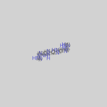 c1cc2nc(-c3ccc(-c4nc5ccc(NC6=NCCN6C6=NCCN6)cc5[nH]4)cc3)[nH]c2cc1NC1=NCCN1C1=NCCN1